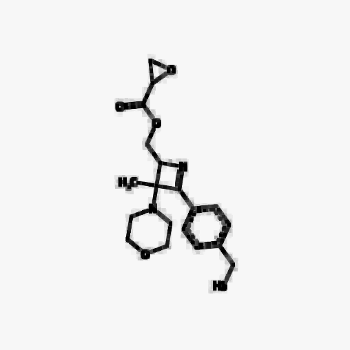 CC1(N2CCOCC2)C(c2ccc(CS)cc2)=NC1COC(=O)C1CO1